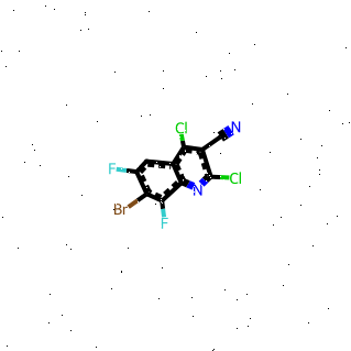 N#Cc1c(Cl)nc2c(F)c(Br)c(F)cc2c1Cl